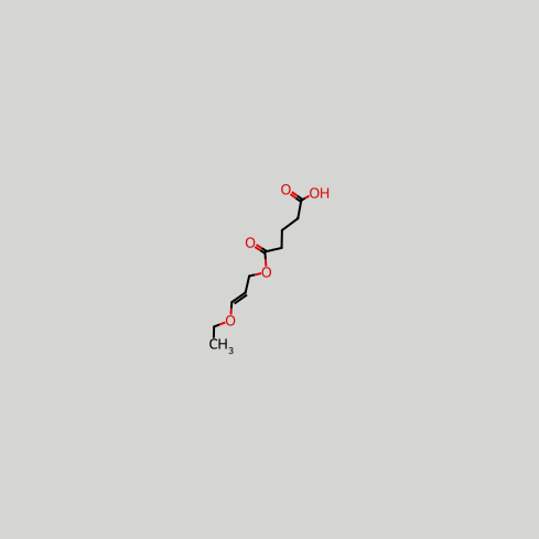 CCOC=CCOC(=O)CCCC(=O)O